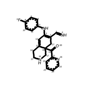 N=CC1=C(Nc2ccc(F)cc2)C=C2CCNCC2(C(=O)c2ccccn2)C1